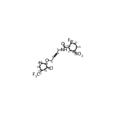 O=C(NCC#CCOc1ncc(C(F)(F)F)cc1Cl)c1cc([N+](=O)[O-])ccc1F